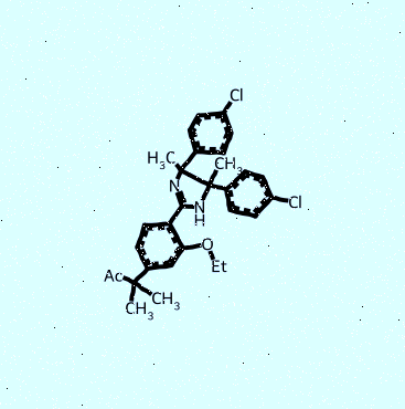 CCOc1cc(C(C)(C)C(C)=O)ccc1C1=NC(C)(c2ccc(Cl)cc2)C(C)(c2ccc(Cl)cc2)N1